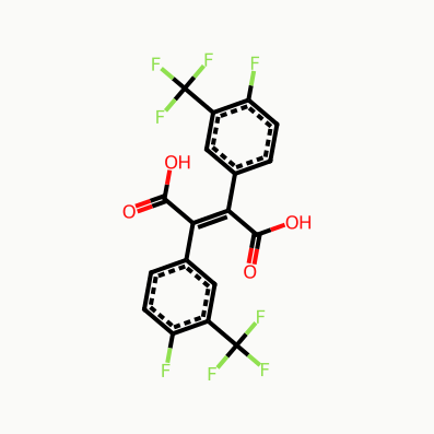 O=C(O)C(=C(C(=O)O)c1ccc(F)c(C(F)(F)F)c1)c1ccc(F)c(C(F)(F)F)c1